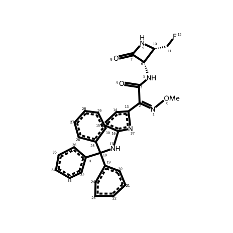 CON=C(C(=O)N[C@@H]1C(=O)N[C@@H]1CF)c1csc(NC(c2ccccc2)(c2ccccc2)c2ccccc2)n1